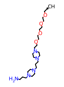 C#CCOCCOCCOCCOCCN1CCN(CCCN2CCN(CCCN)CC2)CC1